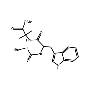 COC(=O)C(C)(C)NC(=O)C(Cc1c[nH]c2ccccc12)NC(=O)OC(C)(C)C